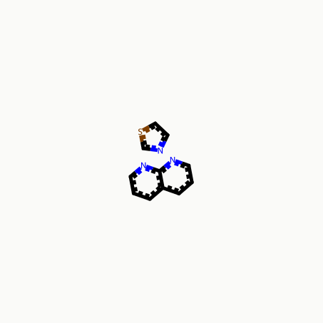 c1cnc2ncccc2c1.c1cscn1